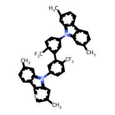 Cc1ccc2c3ccc(C)cc3n(-c3ccc(C(F)(F)F)c(-c4cc(-n5c6cc(C)ccc6c6ccc(C)cc65)ccc4C(F)(F)F)c3)c2c1